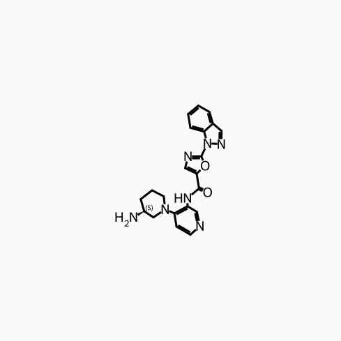 N[C@H]1CCCN(c2ccncc2NC(=O)c2cnc(-n3ncc4ccccc43)o2)C1